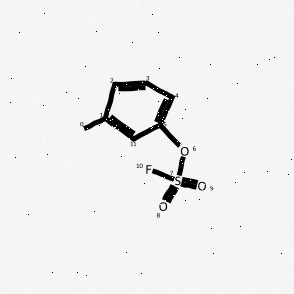 Cc1cccc(OS(=O)(=O)F)c1